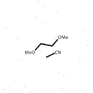 CC#N.COCCOC